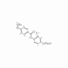 CCCCCc1ccc(OC(=O)c2ccc(OCCCC)cc2)c(F)c1